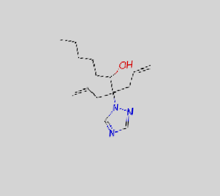 C=CCC(CC=C)(C(O)CCCCC)n1cncn1